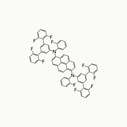 Fc1ccccc1N(c1cc(-c2c(F)cccc2F)cc(-c2c(F)cccc2F)c1)c1ccc2ccc3c(N(c4cc(-c5c(F)cccc5F)cc(-c5c(F)cccc5F)c4)c4ccccc4F)ccc4ccc1c2c43